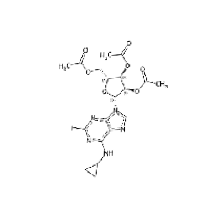 CC(=O)OC[C@H]1O[C@@H](n2cnc3c(NC4CC4)nc(I)nc32)[C@H](OC(C)=O)[C@@H]1OC(C)=O